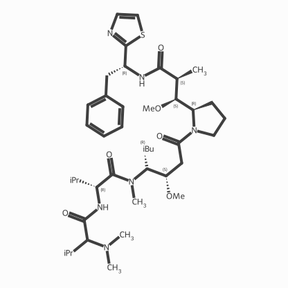 CC[C@@H](C)C([C@H](CC(=O)N1CCC[C@@H]1[C@@H](OC)[C@H](C)C(=O)N[C@H](Cc1ccccc1)c1nccs1)OC)N(C)C(=O)[C@H](NC(=O)C(C(C)C)N(C)C)C(C)C